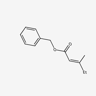 CC/C(C)=C/C(=O)OCc1ccccc1